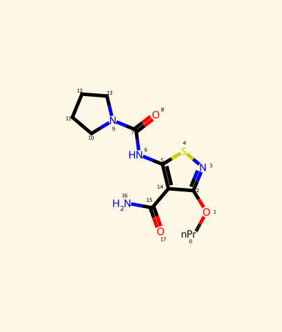 CCCOc1nsc(NC(=O)N2CCCC2)c1C(N)=O